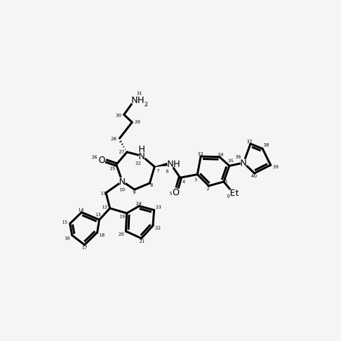 CCc1cc(C(=O)N[C@H]2CCN(CC(c3ccccc3)c3ccccc3)C(=O)[C@H](CCCN)N2)ccc1-n1cccc1